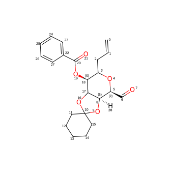 C=CCC1O[C@@H](C=O)[C@H]2OC3(CCCCC3)OC2[C@H]1OC(=O)c1ccccc1